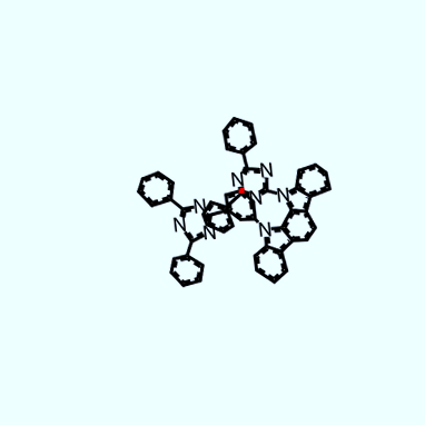 c1ccc(-c2nc(-c3ccccc3)nc(-c3cccc(-n4c5ccccc5c5ccc6c7ccccc7n(-c7nc(-c8ccccc8)nc(-c8ccccc8)n7)c6c54)c3)n2)cc1